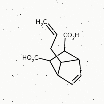 C=CCC1C2C=CC1C(C(=O)O)C2C(=O)O